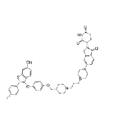 O=C1CCC(N2Cc3cc(N4CCN(CCCN5CCC(COc6ccc(Oc7c(-c8ccc(F)cc8)sc8cc(O)ccc78)cc6)CC5)CC4)ccc3C2=O)C(=O)N1